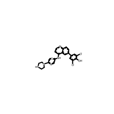 Oc1c(Cl)cc(-c2ccc3nccc(Nc4ccc(N5CCNCC5)nc4)c3c2)cc1Cl